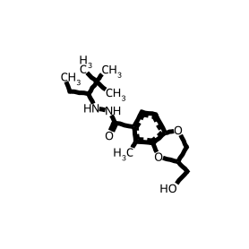 CCC(NNC(=O)c1ccc2c(c1C)OC(CO)CO2)C(C)(C)C